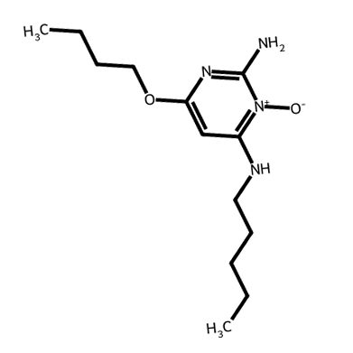 CCCCCNc1cc(OCCCC)nc(N)[n+]1[O-]